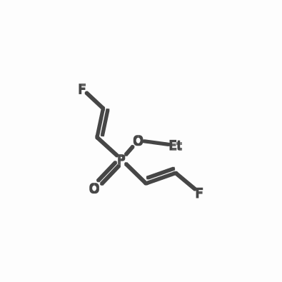 CCOP(=O)(/C=C/F)/C=C/F